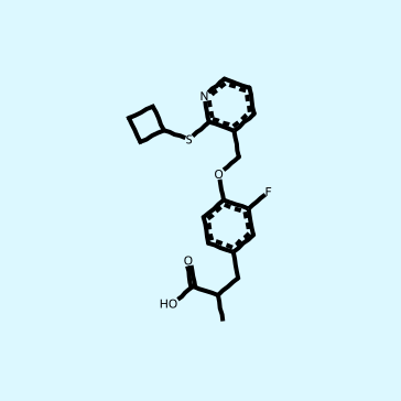 CC(Cc1ccc(OCc2cccnc2SC2CCC2)c(F)c1)C(=O)O